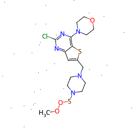 COOSN1CCN(Cc2cc3nc(Cl)nc(N4CCOCC4)c3s2)CC1